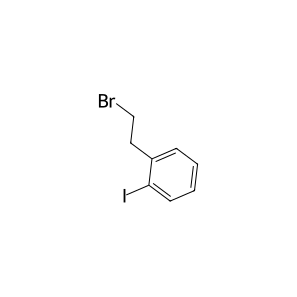 BrCCc1ccccc1I